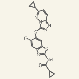 O=C(Nc1nc2cc(F)c(Sc3nnc4ccc(C5CC5)nn34)cc2s1)C1CC1